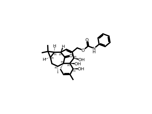 CC1=CC[C@]23C(=O)[C@@H](C=C(COC(=O)Nc4ccccc4)[C@@H](O)[C@]2(O)[C@H]1O)[C@H]1[C@@H](C[C@H]3C)C1(C)C